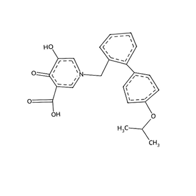 CC(C)Oc1ccc(-c2ccccc2Cn2cc(O)c(=O)c(C(=O)O)c2)cc1